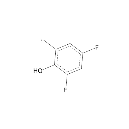 [CH]c1cc(F)cc(F)c1O